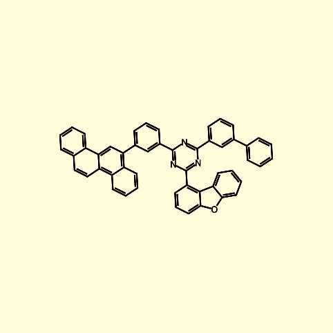 c1ccc(-c2cccc(-c3nc(-c4cccc(-c5cc6c7ccccc7ccc6c6ccccc56)c4)nc(-c4cccc5oc6ccccc6c45)n3)c2)cc1